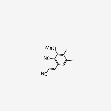 COc1c(C)c(C)cc(C=CC#N)c1C#N